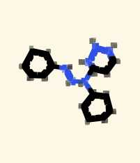 c1ccc(N=NN(c2ccccc2)c2ccnnn2)cc1